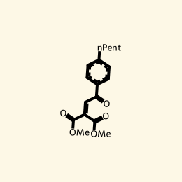 CCCCCc1ccc(C(=O)C=C(C(=O)OC)C(=O)OC)cc1